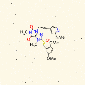 CNc1cc(C#CCn2c(=O)n(C)c(=O)c3c2nc([S+]([O-])Cc2cc(OC)ccc2OC)n3C)ccn1